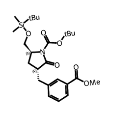 COC(=O)c1cccc(C[C@@H]2C[C@@H](CO[Si](C)(C)C(C)(C)C)N(C(=O)OC(C)(C)C)C2=O)c1